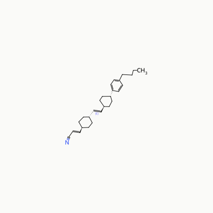 CCCCc1ccc([C@H]2CC[C@H](/C=C/[C@H]3CC[C@H](C=CC#N)CC3)CC2)cc1